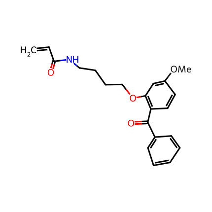 C=CC(=O)NCCCCOc1cc(OC)ccc1C(=O)c1ccccc1